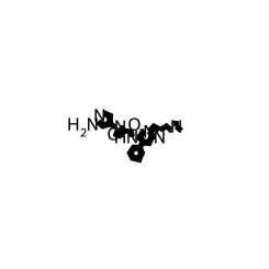 CN(C)CCc1cn2cc(NC(=O)c3coc(-c4ccnc(N)c4)n3)c(-c3ccccc3)cc2n1